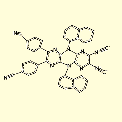 [C-]#[N+]c1nc2c(nc1[N+]#[C-])N(c1cccc3ccccc13)c1nc(-c3ccc(C#N)cc3)c(-c3ccc(C#N)cc3)nc1N2c1cccc2ccccc12